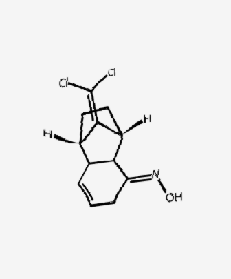 ON=C1CC=CC2C1[C@H]1CC[C@@H]2C1=C(Cl)Cl